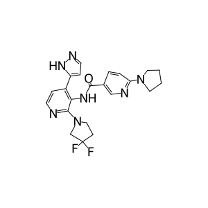 O=C(Nc1c(-c2ccn[nH]2)ccnc1N1CCC(F)(F)C1)c1ccc(N2CCCC2)nc1